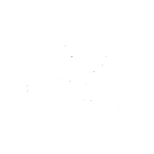 COC(=O)CCCC=CC[C@@H]1[C@H](C=C[C@H](COc2cccc(C(F)(F)F)c2)O[Si](C)(C)C(C)(C)C)[C@H](O[Si](C)(C)C(C)(C)C)C[C@H]1O[Si](C)(C)C(C)(C)C